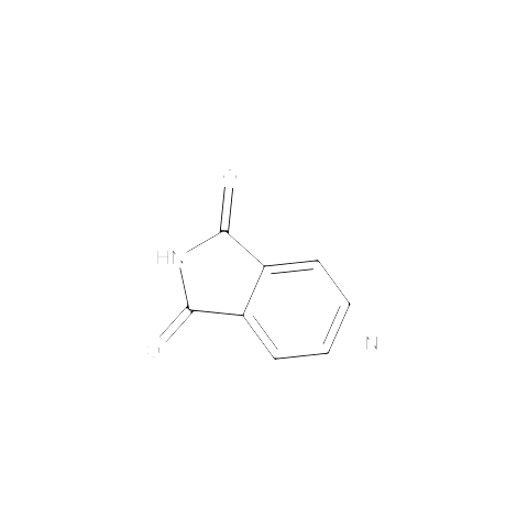 O=C1NC(=O)c2ccccc21.[N]